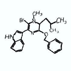 CC(C)CC1C(OCc2ccccc2)=NC(c2c[nH]c3ccccc23)=C(Br)N1C